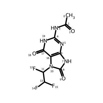 CC(=O)Nc1nc2[nH]c(=O)n(C(F)C(F)F)c2c(=O)[nH]1